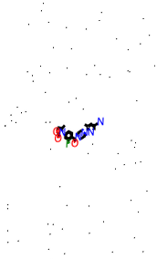 Cc1cc(C#N)cnc1N1CCN(C(=O)c2ccc(N3C(=O)OCC3C)cc2F)CC1